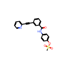 CS(=O)(=O)Oc1ccc(NC(=O)c2cccc(C#Cc3ccccn3)c2)cc1